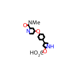 CNC(=O)c1cc(Oc2ccc(-c3c[nH]c(OC(=O)O)c3)cc2)ccn1